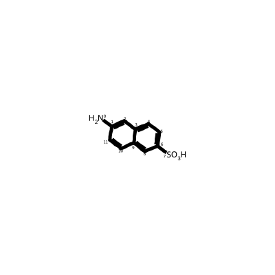 Nc1[c]c2ccc(S(=O)(=O)O)cc2cc1